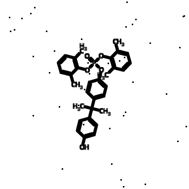 Cc1cccc(C)c1OP(=O)(Oc1ccc(C(C)(C)c2ccc(O)cc2)cc1)Oc1c(C)cccc1C